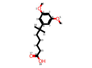 COc1cc(OC)cc(C(C)(C)CCCCC(=O)O)c1